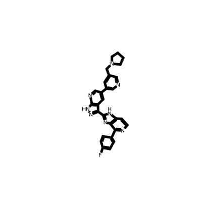 Fc1ccc(-c2nccc3[nH]c(-c4n[nH]c5ncc(-c6cncc(CN7CCCC7)c6)cc45)nc23)cc1